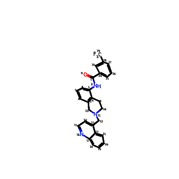 O=C(Nc1cccc2c1CCN(Cc1ccnc3ccccc13)C2)c1cccc(C(F)(F)F)c1